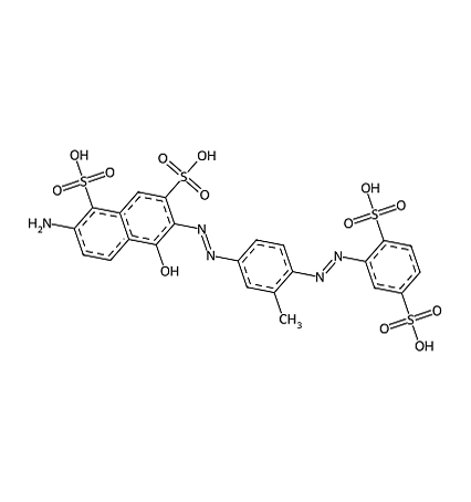 Cc1cc(N=Nc2c(S(=O)(=O)O)cc3c(S(=O)(=O)O)c(N)ccc3c2O)ccc1N=Nc1cc(S(=O)(=O)O)ccc1S(=O)(=O)O